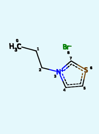 CCC[n+]1ccsc1.[Br-]